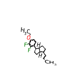 CCCC1CC[C@H]2C(c3ccc(OCC)c(F)c3F)CC[C@@H]12